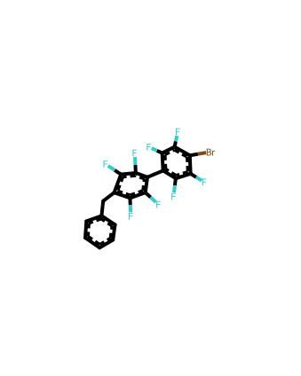 Fc1c(F)c(-c2c(F)c(F)c(Cc3ccccc3)c(F)c2F)c(F)c(F)c1Br